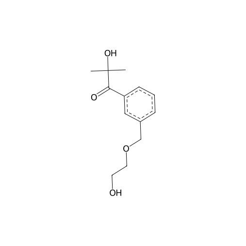 CC(C)(O)C(=O)c1cccc(COCCO)c1